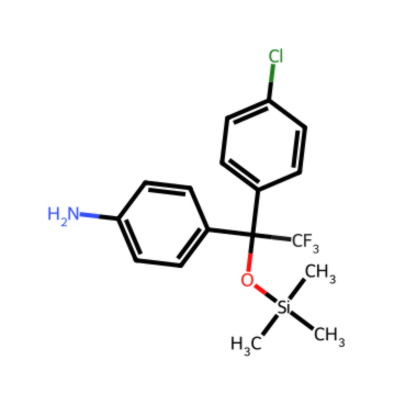 C[Si](C)(C)OC(c1ccc(N)cc1)(c1ccc(Cl)cc1)C(F)(F)F